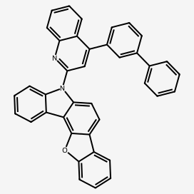 c1ccc(-c2cccc(-c3cc(-n4c5ccccc5c5c6oc7ccccc7c6ccc54)nc4ccccc34)c2)cc1